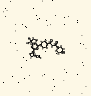 C[C@H]1CCN1c1nc(N2CCN(C(=O)CC(=O)N3CCNCC3)CC2)c2c(n1)C(F)(F)CC2